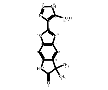 CC1(C)C(=O)Nc2cc3oc(-c4nn[nH]c4C(=O)O)nc3cc21